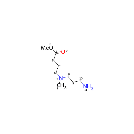 COC(=O)CCCN(C)CCCN